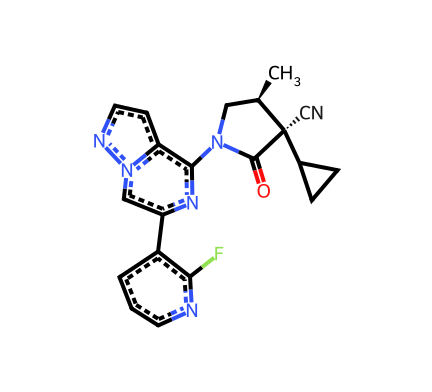 C[C@@H]1CN(c2nc(-c3cccnc3F)cn3nccc23)C(=O)[C@]1(C#N)C1CC1